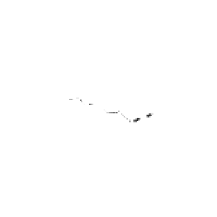 O=C=NCCOCCCl